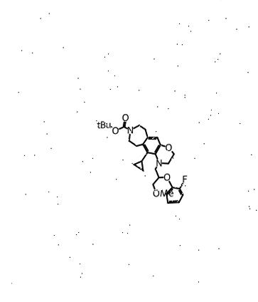 COCC(CN1CCOc2cc3c(c(C4CC4)c21)CCN(C(=O)OC(C)(C)C)CC3)Oc1ccccc1F